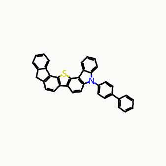 c1ccc(-c2ccc(-n3c4ccccc4c4c5sc6c7c(ccc6c5ccc43)Cc3ccccc3-7)cc2)cc1